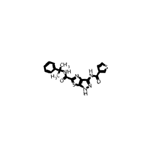 CC(C)(NC(=O)c1nc2c(NC(=O)c3ccsc3)n[nH]c2s1)c1ccccc1